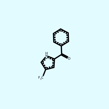 O=C(c1ccccc1)c1cc(C(F)(F)F)c[nH]1